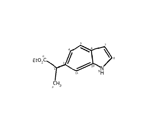 CCOC(=O)C(C)c1ccc2cc[nH]c2c1